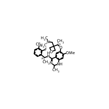 COc1cc2c(cc1O[C@@H](C)C1(CN(C)C)COC1)C(N[C@H](C)c1cccc(C(F)(F)F)c1F)=NC(C)N2